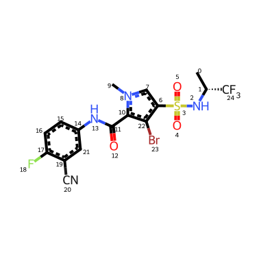 C[C@@H](NS(=O)(=O)c1cn(C)c(C(=O)Nc2ccc(F)c(C#N)c2)c1Br)C(F)(F)F